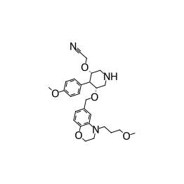 COCCCN1CCOc2ccc(CO[C@H]3CNC[C@@H](OCC#N)C3c3ccc(OC)cc3)cc21